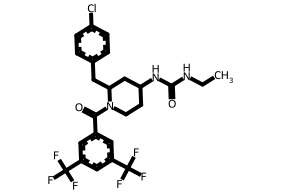 CCNC(=O)NC1CCN(C(=O)c2cc(C(F)(F)F)cc(C(F)(F)F)c2)C(Cc2ccc(Cl)cc2)C1